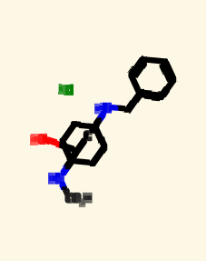 Cl.O=C(O)NC12CCC(NCc3ccccc3)(CC1)CC2O